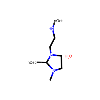 CCCCCCCCCCC1N(C)CCN1CCNCCCCCCCC.O